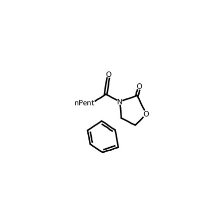 CCCCCC(=O)N1CCOC1=O.c1ccccc1